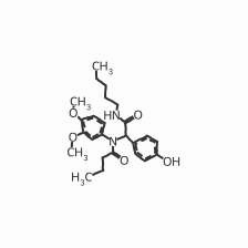 CCCCCNC(=O)C(c1ccc(O)cc1)N(C(=O)CCC)c1ccc(OC)c(OC)c1